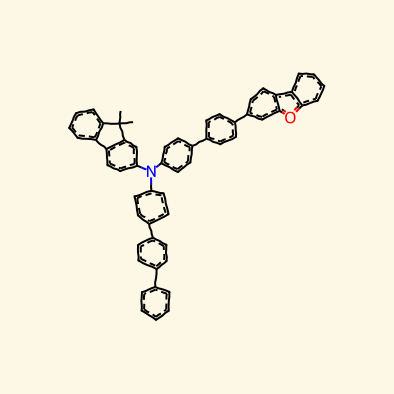 CC1(C)c2ccccc2-c2ccc(N(c3ccc(-c4ccc(-c5ccccc5)cc4)cc3)c3ccc(-c4ccc(-c5ccc6c(c5)oc5ccccc56)cc4)cc3)cc21